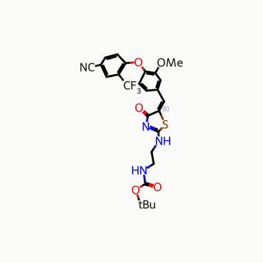 COc1cc(/C=C2/SC(NCCNC(=O)OC(C)(C)C)=NC2=O)ccc1Oc1ccc(C#N)cc1C(F)(F)F